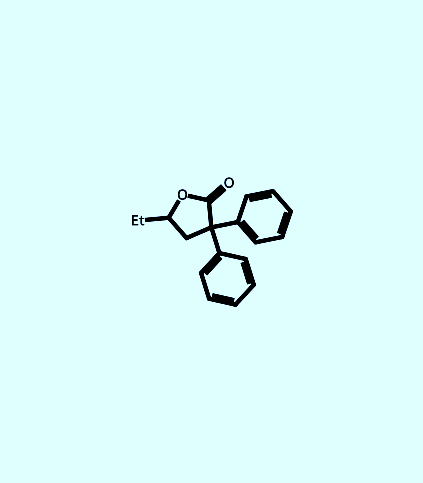 CCC1CC(c2ccccc2)(c2ccccc2)C(=O)O1